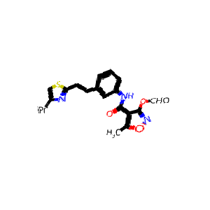 Cc1onc(OC=O)c1C(=O)Nc1cccc(/C=C/c2nc(C(C)C)cs2)c1